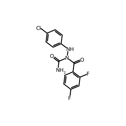 NC(=O)N(Nc1ccc(Cl)cc1)C(=O)c1ccc(F)cc1F